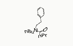 CCCCN(CCc1ccccc1)C(=O)CCC